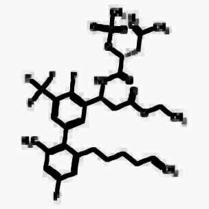 C=CCCCCc1cc(F)cc(C)c1-c1cc([C@H](CC(=O)OCC)NC(=O)[C@@H](CC(=C)C)OS(C)(=O)=O)c(F)c(C(F)(F)F)c1